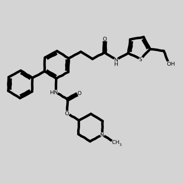 CN1CCC(OC(=O)Nc2cc(CCC(=O)Nc3ccc(CO)s3)ccc2-c2ccccc2)CC1